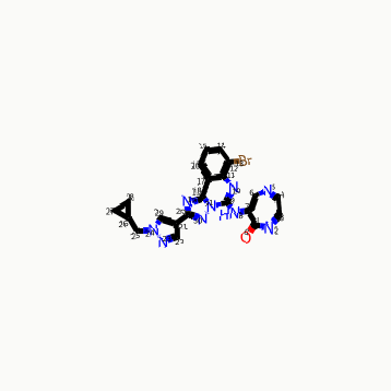 O=c1nccncc1Nc1nc2c(Br)cccc2c2nc(-c3cnn(CC4CC4)c3)nn12